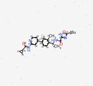 Cc1c([C@H](C)NC(=O)c2noc(C(C)(C)C)n2)ccc(-c2ccnc(NC(=O)C3CC3)c2)c1F